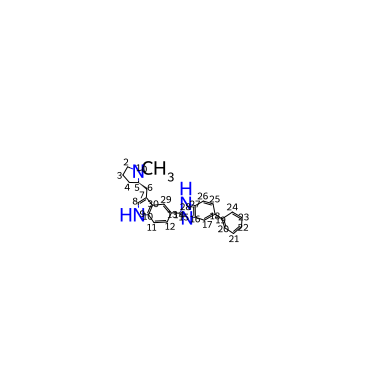 CN1CCC[C@@H]1Cc1c[nH]c2ccc(-c3nc4cc(-c5ccccc5)ccc4[nH]3)cc12